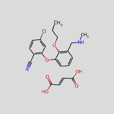 CCCOc1c(CNC)cccc1Oc1cc(Cl)ccc1C#N.O=C(O)C=CC(=O)O